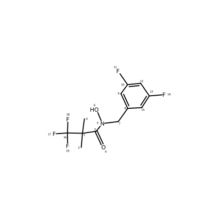 CC(C)(C(=O)N(O)Cc1cc(F)cc(F)c1)C(F)(F)F